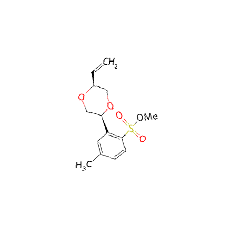 C=C[C@H]1CO[C@@H](c2cc(C)ccc2S(=O)(=O)OC)CO1